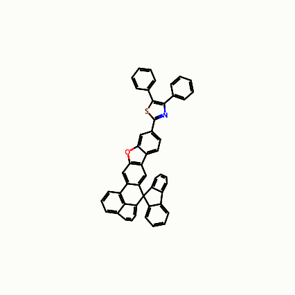 c1ccc(-c2nc(-c3ccc4c(c3)oc3cc5c(cc34)C3(c4ccccc4-c4ccccc43)c3cccc4cccc-5c34)sc2-c2ccccc2)cc1